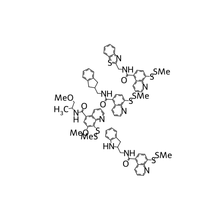 COCC(C)NC(=O)c1cc(OC)c(SSC)c2ncccc12.CSSc1ccc(C(=O)NCC2Cc3ccccc3C2)c2cccnc12.CSSc1ccc(C(=O)NCC2Cc3ccccc3N2)c2cccnc12.CSSc1ccc(C(=O)NCc2nc3ccccc3s2)c2cccnc12